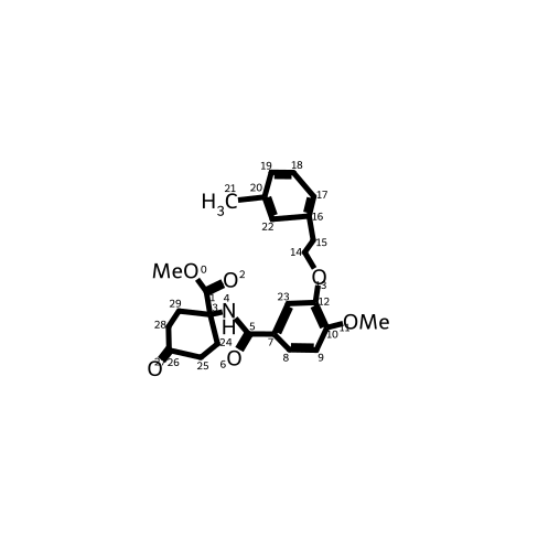 COC(=O)C1(NC(=O)c2ccc(OC)c(OCCc3cccc(C)c3)c2)CCC(=O)CC1